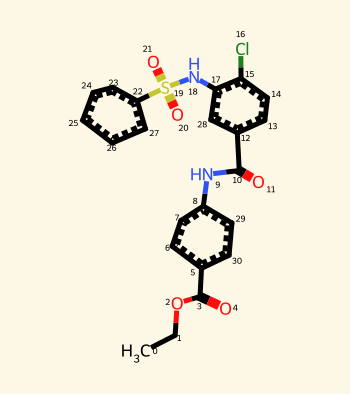 CCOC(=O)c1ccc(NC(=O)c2ccc(Cl)c(NS(=O)(=O)c3ccccc3)c2)cc1